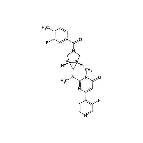 Cc1ccc(C(=O)N2C[C@@H]3C(N(C)c4nc(-c5ccncc5F)cc(=O)n4C)[C@@H]3C2)cc1F